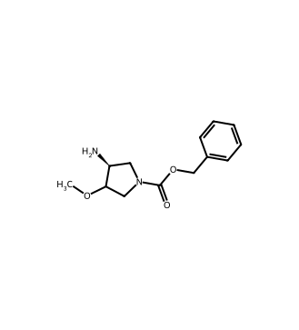 COC1CN(C(=O)OCc2ccccc2)C[C@@H]1N